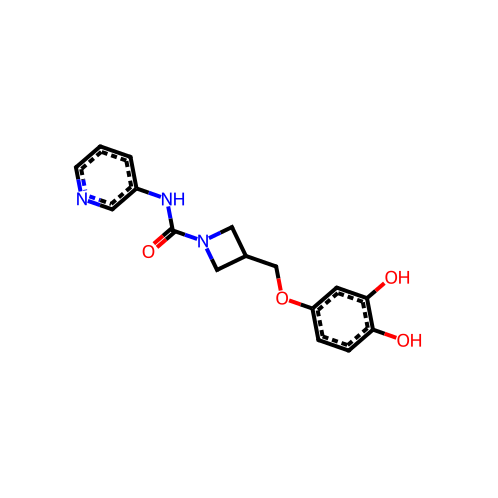 O=C(Nc1cccnc1)N1CC(COc2ccc(O)c(O)c2)C1